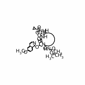 COc1ccc2c(OC3C[C@H]4C(=O)N[C@]5(C(=O)NS(=O)(=O)C6CC6)C[C@H]5CCCCCCC[C@H](NC(=O)OC(C)(C)C)C(=O)N4C3)nccc2c1